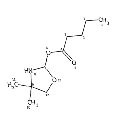 CCCCC(=O)OC1NC(C)(C)CO1